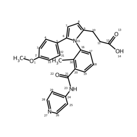 COc1ccc(-c2ccc(CCC(=O)O)n2-c2cccc(C(=O)Nc3ccncc3)c2C)cc1